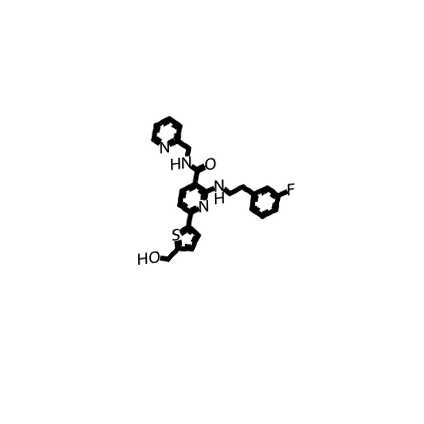 O=C(NCc1ccccn1)c1ccc(-c2ccc(CO)s2)nc1NCCc1cccc(F)c1